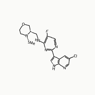 CSN1CCOCC1CNc1nc(-c2c[nH]c3ncc(Cl)cc23)ncc1F